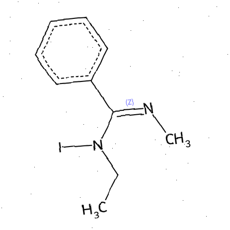 CCN(I)/C(=N\C)c1ccccc1